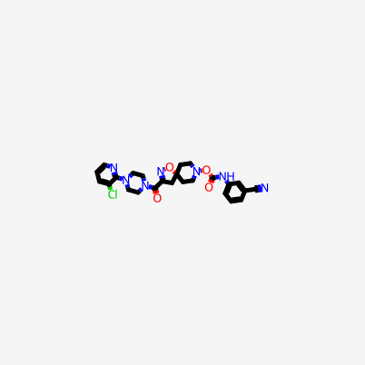 N#Cc1cccc(NC(=O)ON2CCC3(CC2)CC(C(=O)N2CCN(c4ncccc4Cl)CC2)=NO3)c1